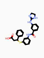 O=C(O)CC(Sc1cccc(NC(=O)c2cccc(NC3=NCCN3)c2)c1)c1ccccc1